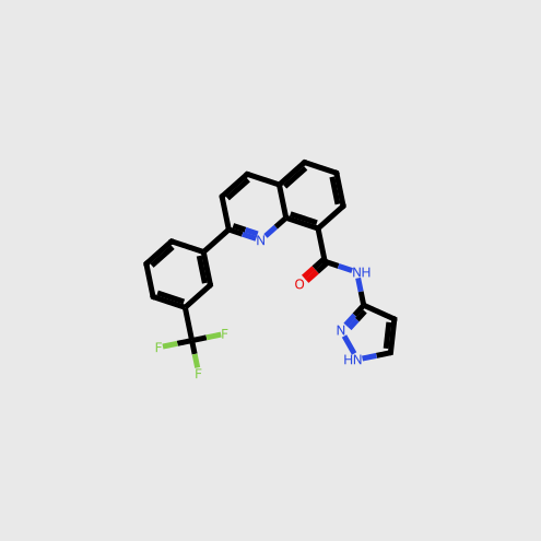 O=C(Nc1cc[nH]n1)c1cccc2ccc(-c3cccc(C(F)(F)F)c3)nc12